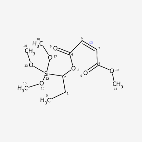 CCC(OC(=O)/C=C\C(=O)OC)[Si](OC)(OC)OC